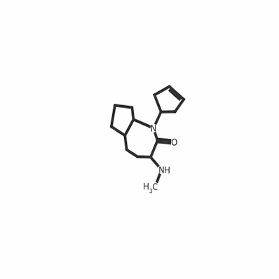 CNC1CCC2CCCC2N(C2CC=CC2)C1=O